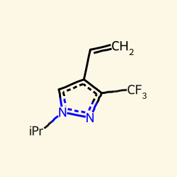 C=Cc1cn(C(C)C)nc1C(F)(F)F